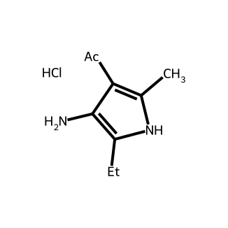 CCc1[nH]c(C)c(C(C)=O)c1N.Cl